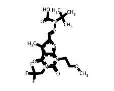 COCCn1c(=O)n(CC(F)(F)F)c(=O)c2c(C)c(C=NN(C(=O)O)C(C)(C)C)sc21